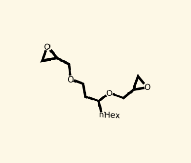 CCCCCCC(CCOCC1CO1)OCC1CO1